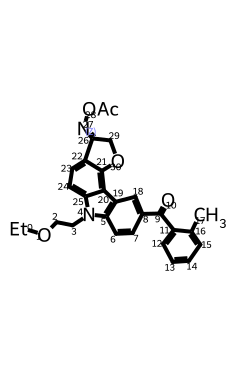 CCOCCn1c2ccc(C(=O)c3ccccc3C)cc2c2c3c(ccc21)/C(=N/OC(C)=O)CO3